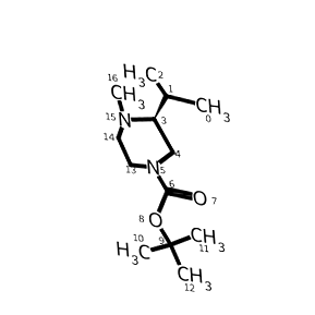 CC(C)[C@H]1CN(C(=O)OC(C)(C)C)CCN1C